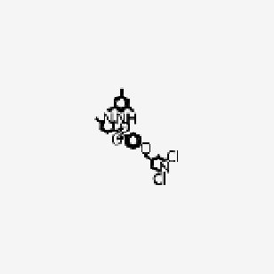 Cc1cc(C)c(Nc2nc(C)ccc2S(=O)(=O)c2ccc(OCc3cc(Cl)nc(Cl)c3)cc2)c(C)c1